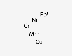 [Cr].[Cu].[Mn].[Ni].[Pb]